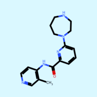 Cc1cnccc1NC(=O)c1cccc(N2CCCNCC2)n1